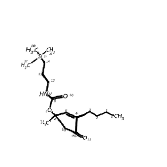 CCCCC1=CC(C)(OC(=O)NCCC[Si](C)(C)C)CC1=O